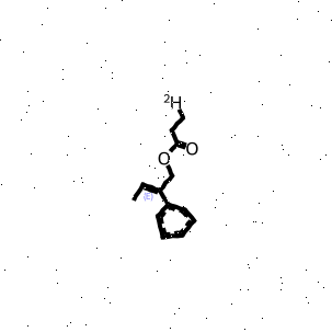 [2H]CCC(=O)OC/C(=C/C)c1ccccc1